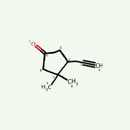 C#CC1CC(=O)CC1(C)C